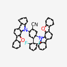 N#Cc1cc(-n2c3ccccc3c3ccc4c5ccccc5oc4c32)c(-c2c(F)cccc2F)cc1-n1c2ccccc2c2ccc3c4ccccc4oc3c21